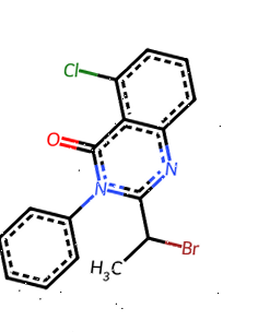 CC(Br)c1nc2cccc(Cl)c2c(=O)n1-c1ccccc1